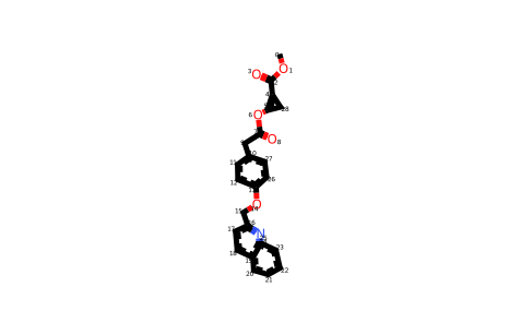 COC(=O)C1=C(OC(=O)Cc2ccc(OCc3ccc4ccccc4n3)cc2)C1